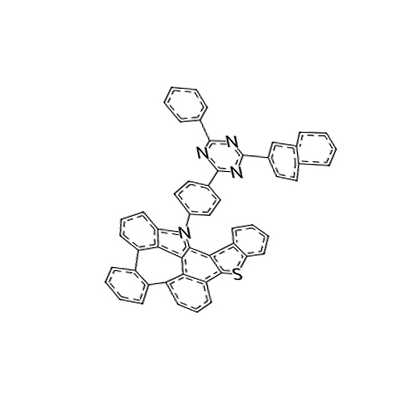 c1ccc(-c2nc(-c3ccc(-n4c5cccc6c5c5c7c(cccc7c7sc8ccccc8c7c54)-c4ccccc4-6)cc3)nc(-c3ccc4ccccc4c3)n2)cc1